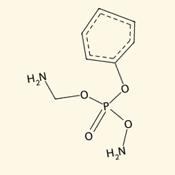 NCOP(=O)(ON)Oc1ccccc1